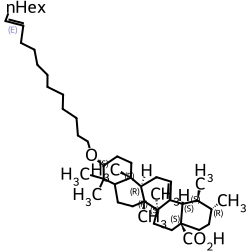 CCCCCC/C=C/CCCCCCCCCCO[C@H]1CC[C@@]2(C)C(CC[C@]3(C)[C@@H]2CC=C2[C@@H]4[C@@H](C)[C@H](C)CC[C@]4(C(=O)O)CC[C@]23C)C1(C)C